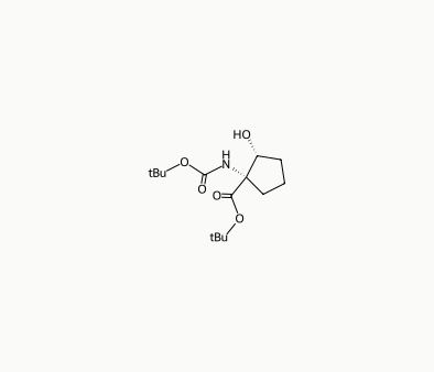 CC(C)(C)OC(=O)N[C@@]1(C(=O)OC(C)(C)C)CCC[C@H]1O